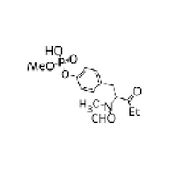 CCC(=O)C(Cc1ccc(OP(=O)(O)OC)cc1)N(C)C=O